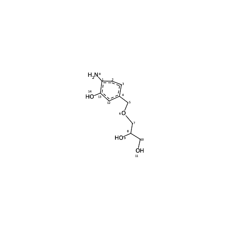 Nc1ccc(COCC(O)CO)cc1O